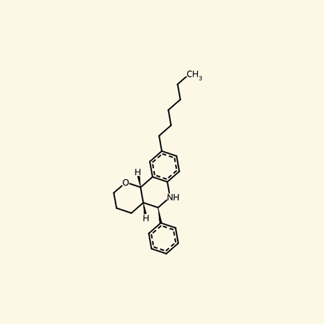 CCCCCCc1ccc2c(c1)[C@H]1OCCC[C@H]1[C@H](c1ccccc1)N2